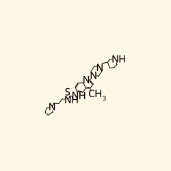 Cc1cc(N2CCN(CC3CCCNC3)CC2)nc2ccc(NC(=S)NCCCN3CCCC3)cc12